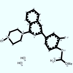 CCN1CCN(c2nc(-c3ccc(OC(C)OC)c(F)c3)cc3ccccc23)CC1.Cl.Cl